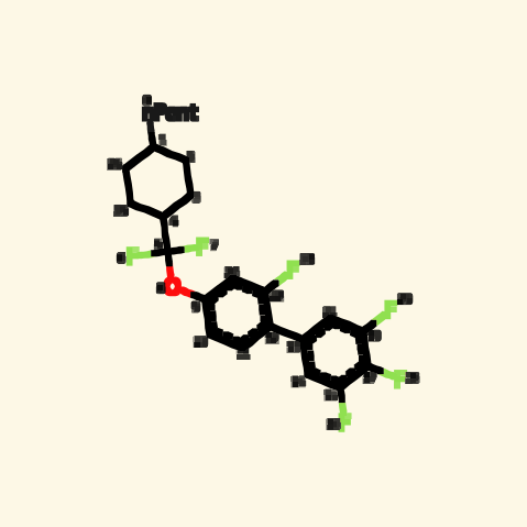 CCCCCC1CCC(C(F)(F)Oc2ccc(-c3cc(F)c(F)c(F)c3)c(F)c2)CC1